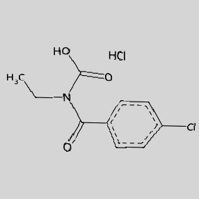 CCN(C(=O)O)C(=O)c1ccc(Cl)cc1.Cl